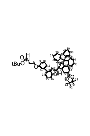 CC(C)(C)OC(=O)NCCOc1cccc(-c2cccc3[nH]c(-c4nn(C(c5ccccc5)(c5ccccc5)c5ccccc5)c5ccc(B6OC(C)(C)C(C)(C)O6)cc45)nc23)c1